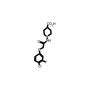 O=C(COc1ccc(Cl)c(F)c1)NN1CCC(C(=O)O)CC1